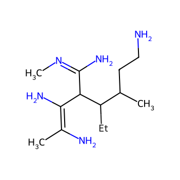 CCC(C(C)CCN)C(/C(N)=N\C)/C(N)=C(/C)N